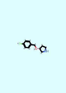 Fc1ccc(CO[C@@H]2CCNC2)cc1